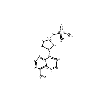 COc1cccc2c(N3CC[C@H](C[S@](C)(=N)=O)C3)ncnc12